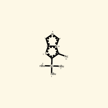 CCC[CH2][Sn]([CH2]CCC)([CH2]CCC)[c]1sc2cncn2c1C(C)=O